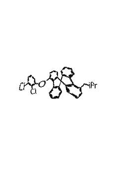 CC(C)Cc1cccc2c1-c1ccccc1C21c2ccccc2-c2c(Oc3cccc(Cl)c3Cl)cccc21